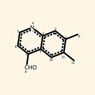 Cc1cc2nccc(C=O)c2cc1C